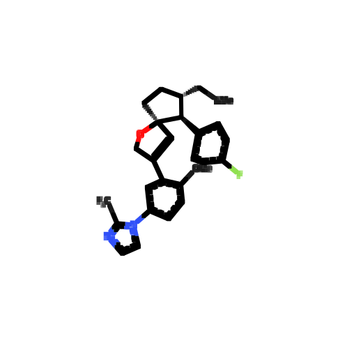 CNC[C@H]1CC[C@@]2(C=C(c3cc(-n4ccnc4C(F)(F)F)ccc3OC)CO2)[C@@H]1c1ccc(F)cc1